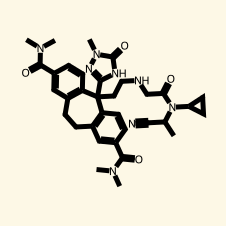 CC(C#N)N(C(=O)CNCCC1(c2nn(C)c(=O)[nH]2)c2ccc(C(=O)N(C)C)cc2CCc2cc(C(=O)N(C)C)ccc21)C1CC1